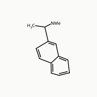 [CH2-][NH2+]C(C)c1ccc2ccccc2c1